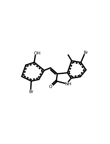 Cc1c(Br)ccc2c1C(=Cc1cc(Br)ccc1O)C(=O)N2